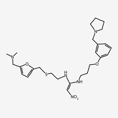 CN(C)Cc1ccc(CSCCN/C(=C/[N+](=O)[O-])NCCCOc2cccc(CN3CCCC3)c2)o1